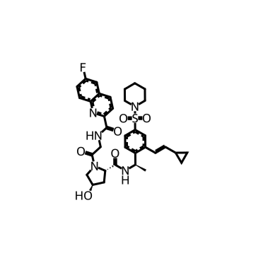 C[C@@H](NC(=O)[C@@H]1C[C@@H](O)CN1C(=O)CNC(=O)c1ccc2cc(F)ccc2n1)c1ccc(S(=O)(=O)N2CCCCC2)cc1/C=C/C1CC1